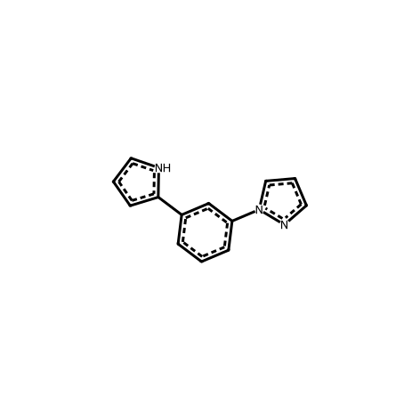 c1cc(-c2ccc[nH]2)cc(-n2cccn2)c1